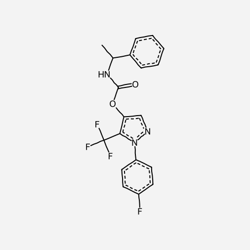 CC(NC(=O)Oc1cnn(-c2ccc(F)cc2)c1C(F)(F)F)c1ccccc1